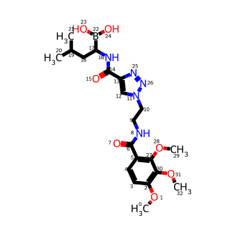 COc1ccc(C(=O)NCCn2cc(C(=O)NC(CC(C)C)B(O)O)nn2)c(OC)c1OC